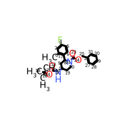 Cc1cc(F)ccc1C1CC(NC(=O)OC(C)(C)C)CCN1C(=O)OCc1ccccc1